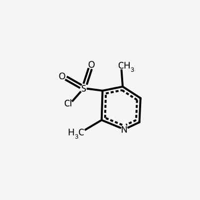 Cc1ccnc(C)c1S(=O)(=O)Cl